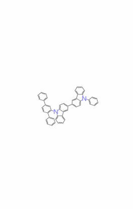 c1ccc(-c2ccc(-c3ccccc3)c(-n3c4ccccc4c4cc(-c5ccc6c(c5)c5ccccc5n6-c5ccccc5)ccc43)c2)cc1